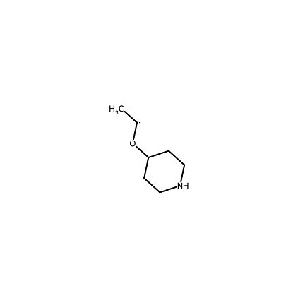 C[CH]OC1CCNCC1